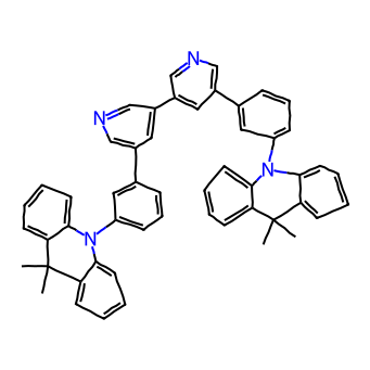 CC1(C)c2ccccc2N(c2cccc(-c3cncc(-c4cncc(-c5cccc(N6c7ccccc7C(C)(C)c7ccccc76)c5)c4)c3)c2)c2ccccc21